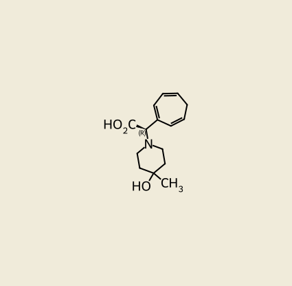 CC1(O)CCN([C@@H](C(=O)O)C2=CC=CCC=C2)CC1